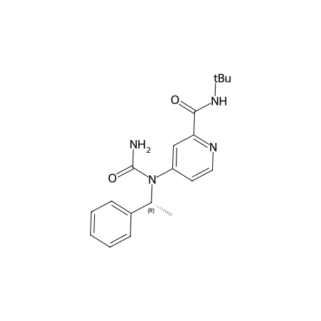 C[C@H](c1ccccc1)N(C(N)=O)c1ccnc(C(=O)NC(C)(C)C)c1